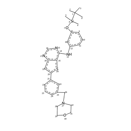 CC(C)(C)[Si](C)(C)Oc1cccc(Nc2ncnc3cc(-c4cccc(CN5CCOCC5)c4)sc23)c1